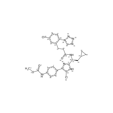 COC(=O)Nc1ccc(-c2nc([C@H](CC3CC3)NC(=O)CCc3cc(Cl)ccc3-n3cnnn3)[nH]c2Cl)cc1